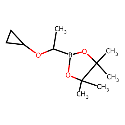 CC(OC1CC1)B1OC(C)(C)C(C)(C)O1